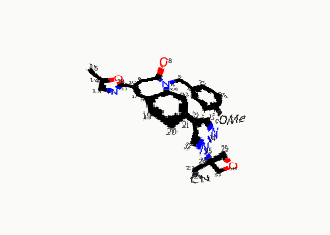 COc1ccc(CN2C(=O)CC(c3ncc(C)o3)=Cc3ccc(-c4cnn(C5(CC#N)COC5)c4)cc32)cc1